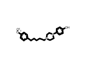 Oc1ccc(N2CCN(CCCCCc3ccc(OC(F)(F)F)cc3)CC2)cc1